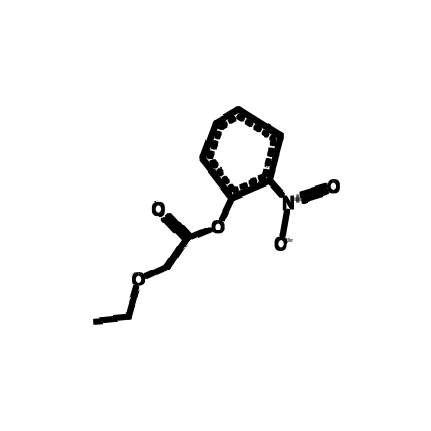 CCOCC(=O)Oc1ccccc1[N+](=O)[O-]